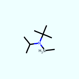 C[SiH2]N(C(C)C)C(C)(C)C